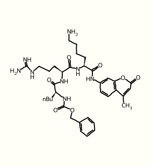 CCCC[C@H](NC(=O)OCc1ccccc1)C(=O)N[C@@H](CCCNC(=N)N)C(=O)N[C@@H](CCCCN)C(=O)Nc1ccc2c(C)cc(=O)oc2c1